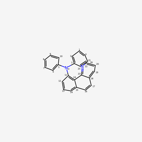 c1ccc(N(c2ccccc2)c2cccc3ccc4cccnc4c23)cc1